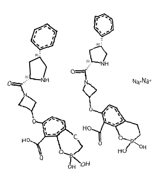 O=C(O)c1c(OC2CN(C(=O)[C@@H]3C[C@H](c4ccccc4)CN3)C2)ccc2c1O[B-](O)(O)CC2.O=C(O)c1c(OC2CN(C(=O)[C@@H]3C[C@H](c4ccccc4)CN3)C2)ccc2c1O[B-](O)(O)CC2.[Na+].[Na+]